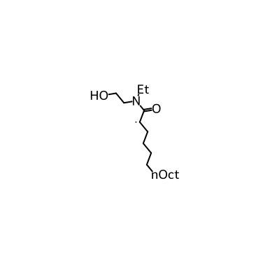 CCCCCCCCCCCC[CH]C(=O)N(CC)CCO